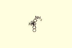 Nc1ccc(S(=O)(=O)Nc2ccc3c(c2)CCCC3)cc1